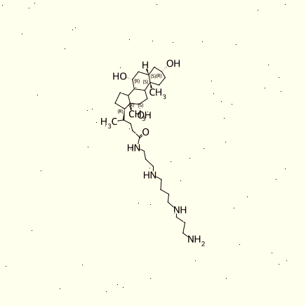 CC(CCC(=O)NCCCNCCCCNCCCN)[C@H]1CCC2C3C(C[C@H](O)[C@@]21C)[C@@]1(C)CC[C@@H](O)C[C@H]1C[C@H]3O